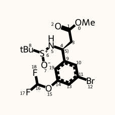 COC(=O)C[C@H](N[S+]([O-])C(C)(C)C)c1cc(Br)cc(OC(F)F)c1